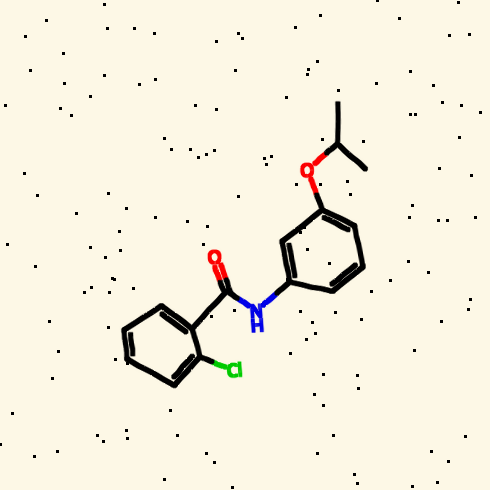 CC(C)Oc1cccc(NC(=O)c2ccccc2Cl)c1